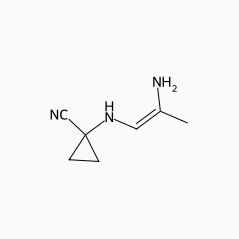 C/C(N)=C/NC1(C#N)CC1